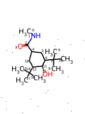 CNC(=O)C1CC(C(C)(C)C)C(O)C(C(C)(C)C)C1